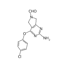 Nc1nc2c(c(Oc3ccc(Cl)cc3)n1)CN(C=O)C2